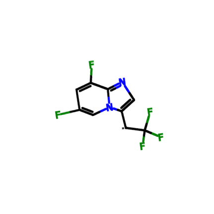 Fc1cc(F)c2ncc([CH]C(F)(F)F)n2c1